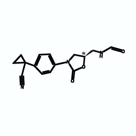 N#CC1(c2ccc(N3C[C@H](CNC=O)OC3=O)cc2)CC1